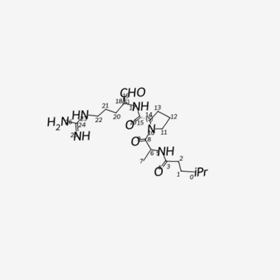 CC(C)CCC(=O)NC(C)C(=O)N1CCC[C@H]1C(=O)N[C@H](C=O)CCCNC(=N)N